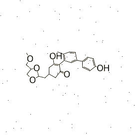 COCC1COC(CC2CC(=O)C(c3cc(-c4ccc(O)cc4)ccc3C)=C(O)C2)O1